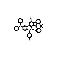 Cc1ccc(N2B3c4cccc5c4-n4c6c(cccc6c6c([Si](C)(C)C)cc(c3c64)-c3cc(N(c4ccccc4)c4ccccc4)ccc32)C5(C)C)cc1